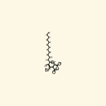 CCCCCCCCCCCCC(Br)C(C)=C(Br)C1CC(=O)OC1=O